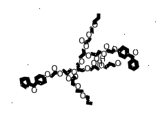 CCCOCCOCC(=O)OCC(COCC(COCC(O)COCCCOC)OCC(COC(=O)COc1ccc(C(=O)c2ccccc2)cc1)OC(=O)COCCOCCC)OCC(O)COC(=O)COc1ccc(C(=O)c2ccccc2)cc1